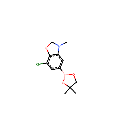 CN1COc2c(Cl)cc(B3OCC(C)(C)O3)cc21